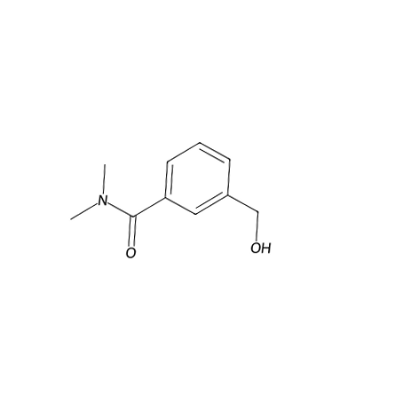 CN(C)C(=O)c1cccc(CO)c1